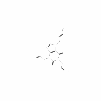 C=CCn1c(=O)c2c(ncn2CC=CO)n(CC=C)c1=O